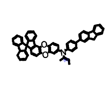 C/C=C(\C)N(c1ccc(-c2ccc3c(c2)Cc2ccccc2-3)cc1)c1ccc2c(c1)Oc1ccc3c(c1O2)-c1ccccc1C31C2=CC=CCC2c2ccccc21